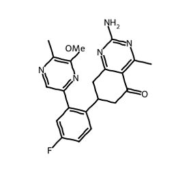 COc1nc(-c2cc(F)ccc2C2CC(=O)c3c(C)nc(N)nc3C2)cnc1C